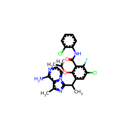 Cc1nc(C(C)c2cc(Cl)c(F)c(C(=O)Nc3ccccc3Cl)c2OC(C)C)n2ccnc(N)c12